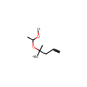 C=CCC(C)(CCCC)OC(C)OCC